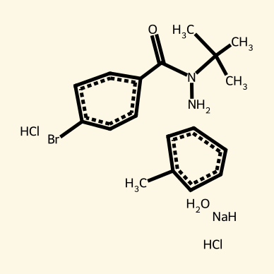 CC(C)(C)N(N)C(=O)c1ccc(Br)cc1.Cc1ccccc1.Cl.Cl.O.[NaH]